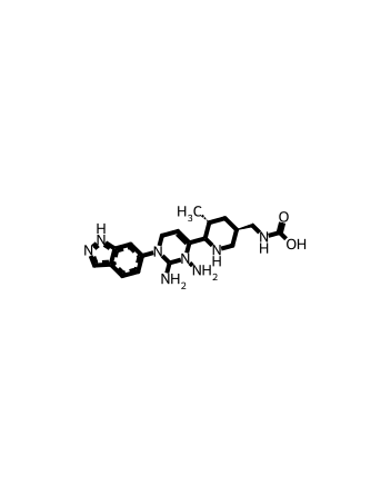 C[C@@H]1C[C@@H](CNC(=O)O)CNC1C1=CCN(c2ccc3cn[nH]c3c2)C(N)N1N